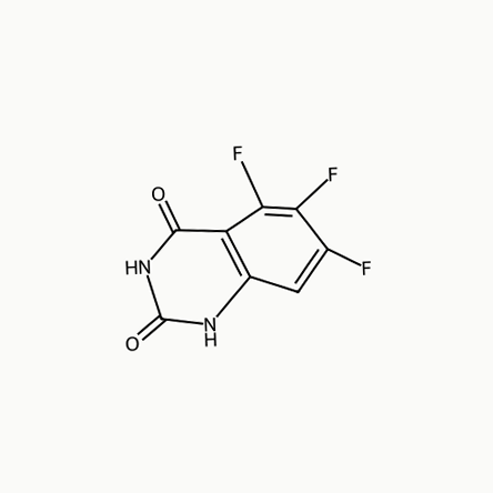 O=c1[nH]c(=O)c2c(F)c(F)c(F)cc2[nH]1